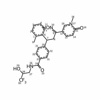 Cc1ccccc1C(C/C(=N\O)c1ccc(=O)n(C)c1)c1ccc(C(=O)NCC(O)C(F)(F)F)cc1